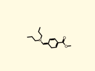 CCCN(C=C1C=CC(C(=O)OC)=CC1)CCC